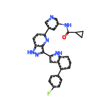 O=C(Nc1cncc(-c2ccc3[nH]nc(-c4cc5c(-c6ccc(F)cc6)cccc5[nH]4)c3n2)c1)C1CC1